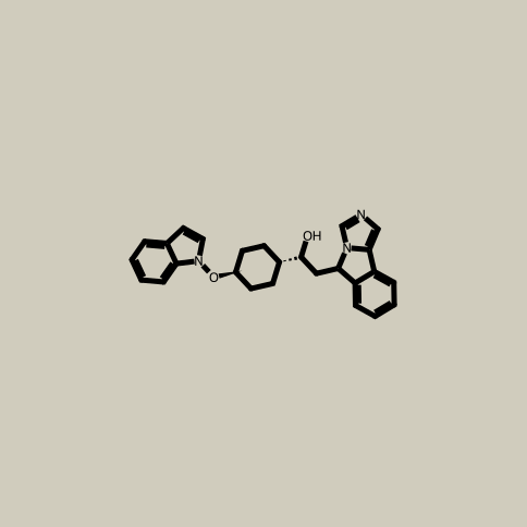 OC(CC1c2ccccc2-c2cncn21)[C@H]1CC[C@H](On2ccc3ccccc32)CC1